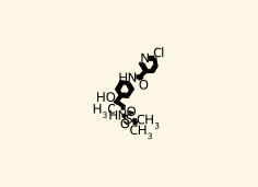 CC(C)S(=O)(=O)NCC(C)(O)c1ccc(NC(=O)c2ccc(Cl)nc2)cc1